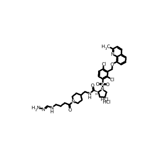 Cc1ccc2cccc(OCc3c(Cl)ccc(S(=O)(=O)N4CCC[C@H]4C(=O)NCC4CCN(C(=O)CCCNC=NN)CC4)c3Cl)c2n1.Cl.Cl